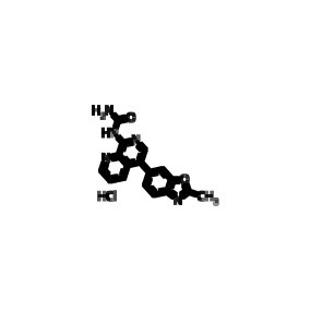 Cc1nc2ccc(-c3cnc(NC(N)=O)c4ncccc34)cc2o1.Cl